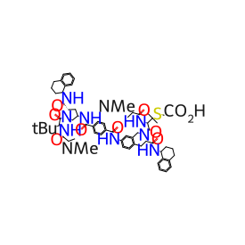 CNC(C)C(=O)NC(C(=O)N1C[C@@H](NC(=O)c2ccc(C(=O)Nc3ccc4c(c3)CN(C(=O)C(NC(=O)C(C)NC)C(C)(C)SCC(=O)O)C(C(=O)N[C@@H]3CCCc5ccccc53)C4)cc2)C[C@H]1C(=O)N[C@@H]1CCCc2ccccc21)C(C)(C)C